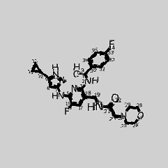 C[C@H](Nc1nc(Nc2cc(C3CC3)[nH]n2)c(F)cc1CNC(=O)CN1CCOCC1)c1ccc(F)cc1